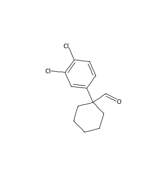 O=CC1(c2ccc(Cl)c(Cl)c2)CCCCC1